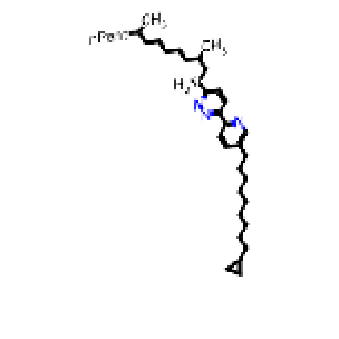 CCCCCC(C)CCCCCC(C)C[SiH2]c1ccc(-c2ccc(CCCCCCCCCC3CC3)cn2)nn1